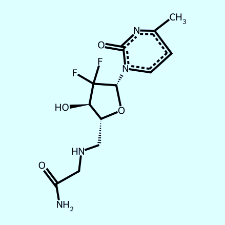 Cc1ccn([C@@H]2O[C@H](CNCC(N)=O)[C@@H](O)C2(F)F)c(=O)n1